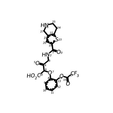 O=C(NCC(=O)C(Oc1ccccc1OC(=O)C(F)(F)F)C(=O)O)c1cc2c(s1)CCNC2